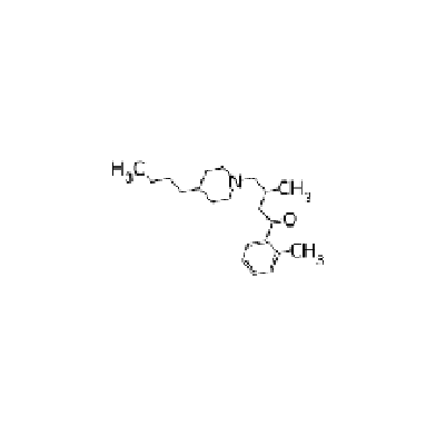 CCCCC1CCN(CC(C)CC(=O)c2ccccc2C)CC1